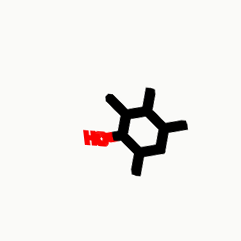 CC1CC(C)C(O)C(C)C1C